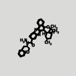 C[C@@H]1CC[C@@H]2[C@@H](C1)c1c(c3ccccc3c3nc4ccc(C(=O)N(N)[C@@H](CO)Cc5ccccc5)cc4nc13)OC2(C)C